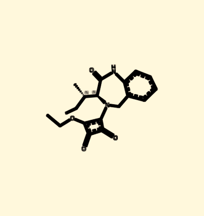 CCOc1c(N2Cc3ccccc3NC(=O)[C@@H]2[C@@H](C)CC)c(=O)c1=O